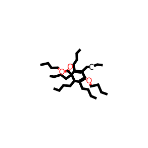 CCCCOC(=O)C1(CCCC)C(CCCC)=C(CCCC)C(OCCCC)=C(CCCC)C1CCCC